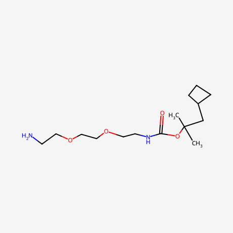 CC(C)(CC1CCC1)OC(=O)NCCOCCOCCN